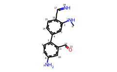 CNc1cc(-c2ccc(N)cc2C=O)ccc1C=N